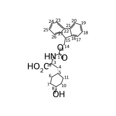 O=C(N[C@@H](C[C@H]1CC[C@H](O)CC1)C(=O)O)OCC1c2ccccc2-c2ccccc21